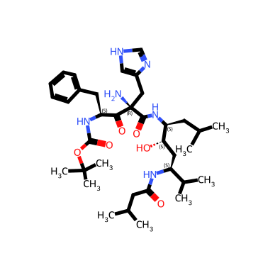 CC(C)CC(=O)N[C@@H](C[C@H](O)[C@H](CC(C)C)NC(=O)[C@@](N)(Cc1c[nH]cn1)C(=O)[C@H](Cc1ccccc1)NC(=O)OC(C)(C)C)C(C)C